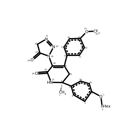 CCCCCCOc1ccc([C@]2(C)CC(c3ccc(OC(F)(F)F)cc3)=C(N3N=NCC3=O)C(=O)N2)cc1